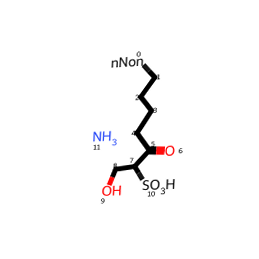 CCCCCCCCCCCCCC(=O)C(CO)S(=O)(=O)O.N